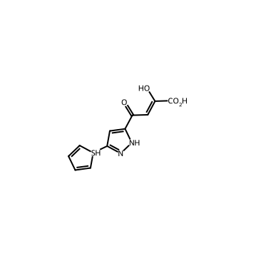 O=C(O)C(O)=CC(=O)c1cc([SH]2C=CC=C2)n[nH]1